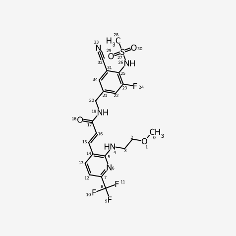 COCCNc1nc(C(F)(F)F)ccc1/C=C/C(=O)NCc1cc(F)c(NS(C)(=O)=O)c(C#N)c1